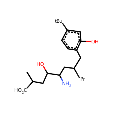 CC(CC(O)C(N)CC(Cc1ccc(C(C)(C)C)cc1O)C(C)C)C(=O)O